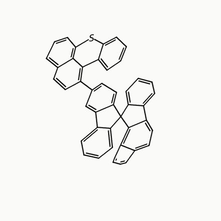 c1ccc2c(c1)Sc1cccc3ccc(-c4ccc5c(c4)-c4ccccc4C54c5ccccc5-c5ccc6ccccc6c54)c-2c13